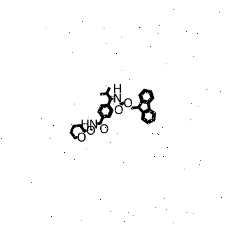 CC(C)[C@H](NC(=O)OCC1c2ccccc2-c2ccccc21)c1ccc(C(=O)NOC2CCCCO2)cc1